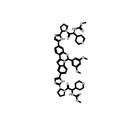 COC(=O)NC(C(=O)N1CCC[C@H]1c1ncc(-c2ccc3c(c2)cc2n3C(c3cc(OC)cc(OC)c3)Oc3cc(-c4cnc(C5CCCN5C(=O)[C@@H](NC(=O)OC)C5CCOCC5)[nH]4)ccc3-2)[nH]1)C1CCOCC1